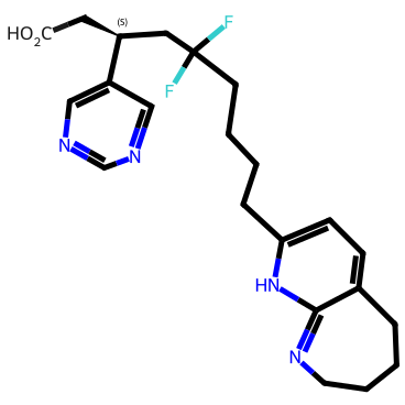 O=C(O)C[C@@H](CC(F)(F)CCCCC1=CC=C2CCCCN=C2N1)c1cncnc1